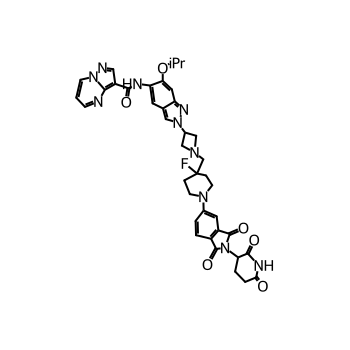 CC(C)Oc1cc2nn(C3CN(CC4(F)CCN(c5ccc6c(c5)C(=O)N(C5CCC(=O)NC5=O)C6=O)CC4)C3)cc2cc1NC(=O)c1cnn2cccnc12